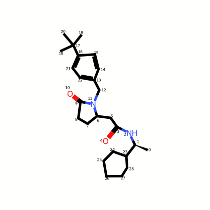 C[C@H](NC(=O)CC1CCC(=O)N1Cc1ccc(C(C)(C)C)cc1)C1CCCCC1